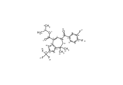 CC(C)OC(=O)C1=CN(C(=O)c2ccc(F)c(F)c2)CC(C)(C)c2cc(C(F)(F)F)sc21